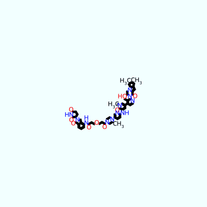 C[C@H]1CN(C(=O)CCOCCC(=O)Nc2cccc3c2CN(C2CCC(=O)NC2=O)C3=O)CCN1c1ccc(Nc2cc(-c3ccnc(N4CCn5c(cc6c5CC(C)(C)C6)C4=O)c3CO)cn(C)c2=O)nc1